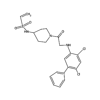 C=CS(=O)(=O)NC1CCN(C(=O)CNc2cc(-c3ccccc3)c(Cl)cc2Cl)CC1